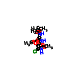 CCOC(=O)COc1cc(CNC(=O)OC(C)(C)C)ccc1NC(=O)CC1CCc2cc(Cl)cc3[nH]c(C(=O)OC)c1c23